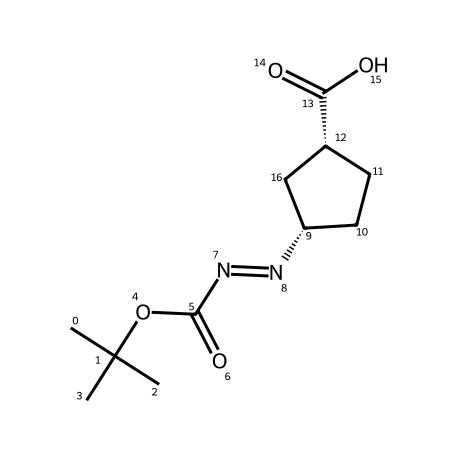 CC(C)(C)OC(=O)N=N[C@H]1CC[C@@H](C(=O)O)C1